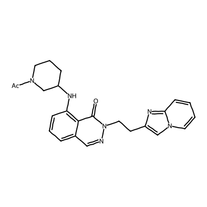 CC(=O)N1CCCC(Nc2cccc3cnn(CCc4cn5ccccc5n4)c(=O)c23)C1